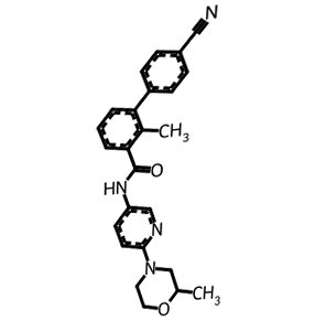 Cc1c(C(=O)Nc2ccc(N3CCOC(C)C3)nc2)cccc1-c1ccc(C#N)cc1